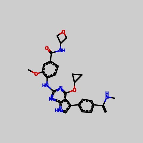 C=C(NC)c1ccc(-c2c[nH]c3nc(Nc4ccc(C(=O)NC5COC5)cc4OC)nc(OC4CC4)c23)cc1